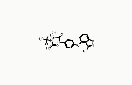 Cc1noc2cccc(Oc3ccc(NC(=O)[C@@H](C)N(C(=O)O)C(C)(C)C)cc3)c12